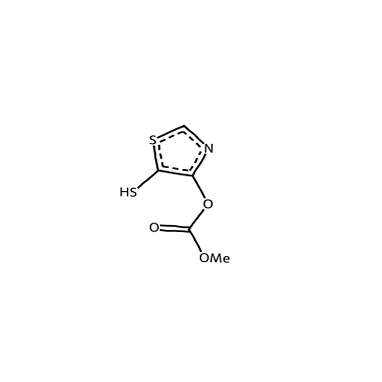 COC(=O)Oc1ncsc1S